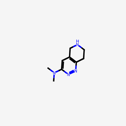 CN(C)c1cc2c(nn1)CCNC2